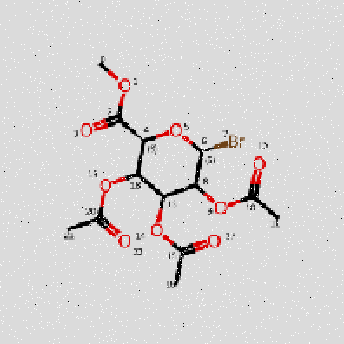 COC(=O)[C@H]1O[C@@H](Br)C(OC(C)=O)C(OC(C)=O)C1OC(C)=O